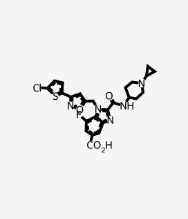 O=C(O)c1cc(F)c2c(c1)nc(C(=O)NC1CCN(C3CC3)CC1)n2Cc1cc(-c2ccc(Cl)s2)no1